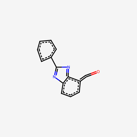 O=C=c1cccc2c1=NC(c1ccccc1)=N2